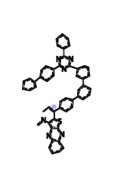 C=Nc1c(/C(=C\C)c2ccc(-c3cccc(-c4cccc(-c5nc(-c6ccccc6)nc(-c6ccc(-c7ccccc7)cc6)n5)c4)c3)cc2)sc2nc3ccccc3nc12